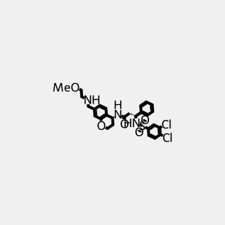 COCCNCc1ccc2c(c1)OCC[C@H]2NC(=O)C[C@@H](NS(=O)(=O)c1ccc(Cl)c(Cl)c1)c1ccccc1